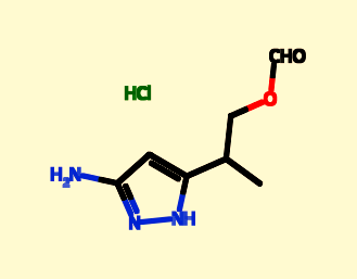 CC(COC=O)c1cc(N)n[nH]1.Cl